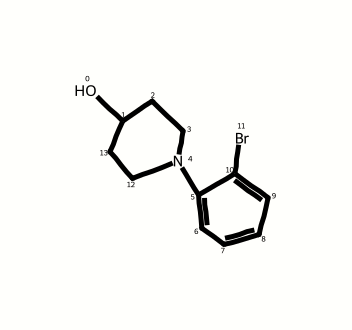 OC1CCN(c2ccccc2Br)CC1